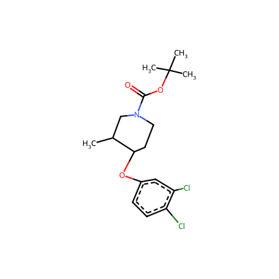 CC1CN(C(=O)OC(C)(C)C)CCC1Oc1ccc(Cl)c(Cl)c1